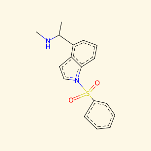 CNC(C)c1cccc2c1ccn2S(=O)(=O)c1ccccc1